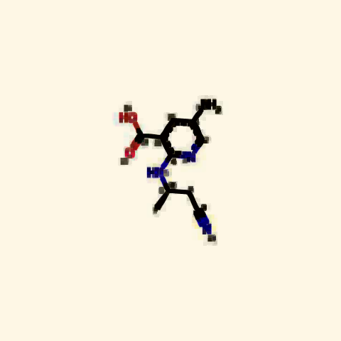 Bc1cnc(N[C@H](C)CC#N)c(C(=O)O)c1